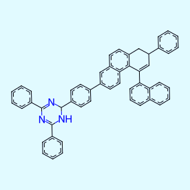 C1=C(c2cccc3ccccc23)c2c(ccc3cc(-c4ccc(C5N=C(c6ccccc6)N=C(c6ccccc6)N5)cc4)ccc23)CC1c1ccccc1